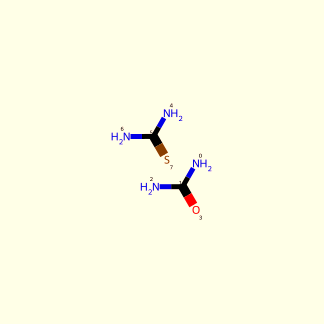 NC(N)=O.NC(N)=S